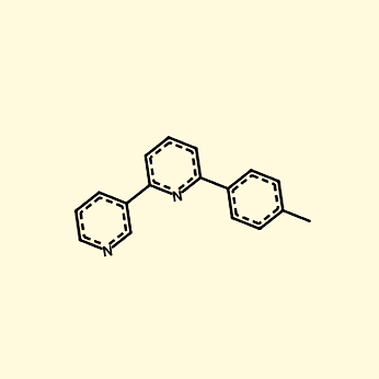 Cc1ccc(-c2cccc(-c3cccnc3)n2)cc1